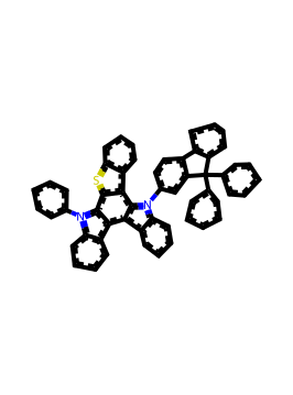 c1ccc(-n2c3ccccc3c3c4c5ccccc5n(-c5ccc6c(c5)C(c5ccccc5)(c5ccccc5)c5ccccc5-6)c4c4c5ccccc5sc4c32)cc1